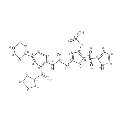 O=C(O)Cc1nc(NC(=O)Nc2ccc(N3CCOCC3)cc2C(=O)C2CCCC2)sc1S(=O)(=O)c1ncc[nH]1